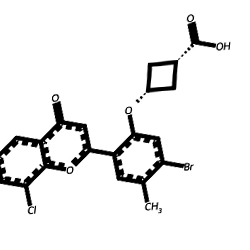 Cc1cc(-c2cc(=O)c3cccc(Cl)c3o2)c(O[C@H]2C[C@@H](C(=O)O)C2)cc1Br